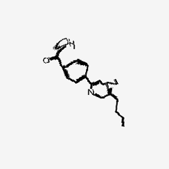 CCCCc1cnc(-c2ccc(C(=O)O)cc2)cn1